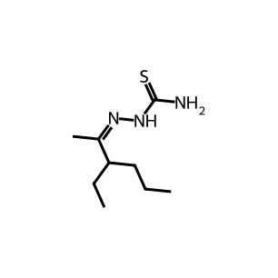 CCCC(CC)/C(C)=N\NC(N)=S